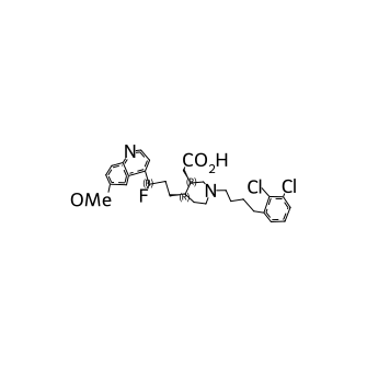 COc1ccc2nccc([C@H](F)CC[C@@H]3CCN(CCCCc4cccc(Cl)c4Cl)C[C@@H]3CC(=O)O)c2c1